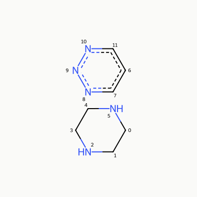 C1CNCCN1.c1cnnnc1